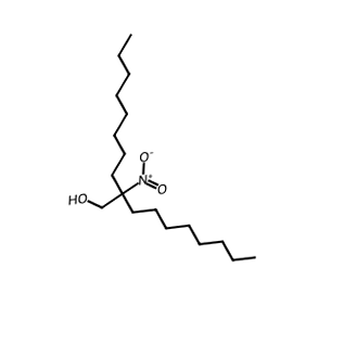 CCCCCCCCC(CO)(CCCCCCCC)[N+](=O)[O-]